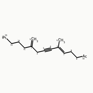 C=C(CC#C/C(C)=C/CCC(C)=O)CCCC(C)C